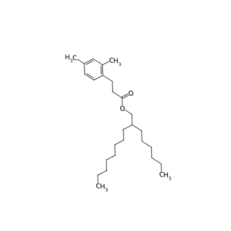 CCCCCCCCC(CCCCCC)COC(=O)CCc1ccc(C)cc1C